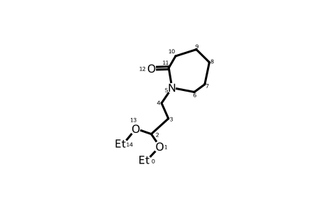 CCOC(CCN1CCCCCC1=O)OCC